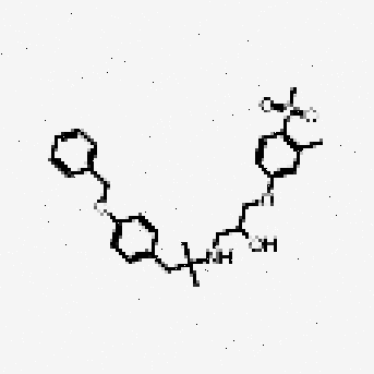 Cc1cc(OCC(O)CNC(C)(C)Cc2ccc(OCc3ccccc3)cc2)ccc1S(C)(=O)=O